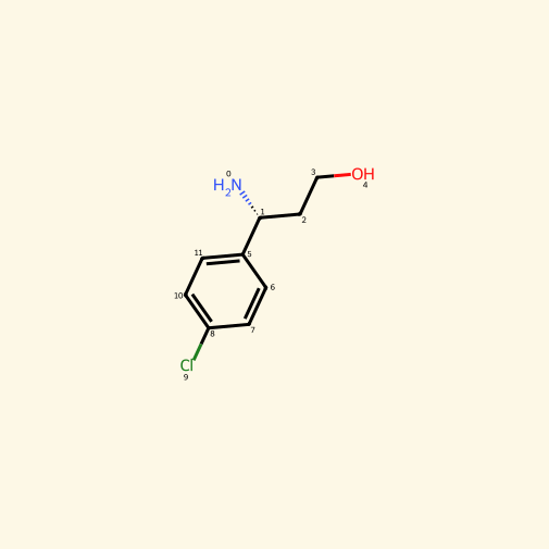 N[C@H](CCO)c1ccc(Cl)cc1